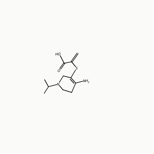 C=C(SC1=C(N)CCN(C(C)C)C1)C(=O)O